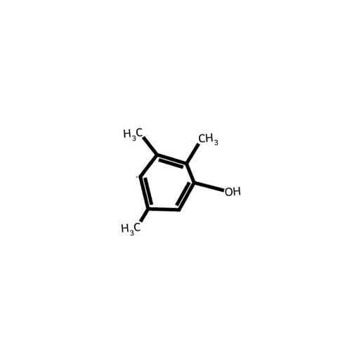 Cc1[c]c(C)c(C)c(O)c1